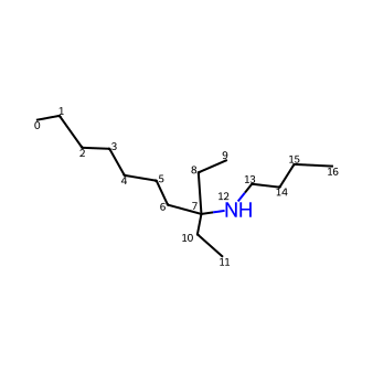 CCCCCCCC(CC)(CC)NCCCC